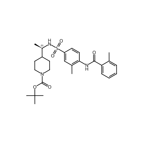 Cc1cc(S(=O)(=O)N[C@H](C)C2CCN(C(=O)OC(C)(C)C)CC2)ccc1NC(=O)c1ccccc1C